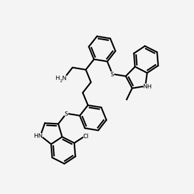 Cc1[nH]c2ccccc2c1Sc1ccccc1[C](CN)CCc1ccccc1Sc1c[nH]c2cccc(Cl)c12